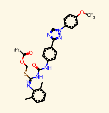 Cc1cccc(C)c1/N=C(\NC(=O)Nc1ccc(-c2ncn(-c3ccc(OC(F)(F)F)cc3)n2)cc1)SCOC(=O)C(C)C